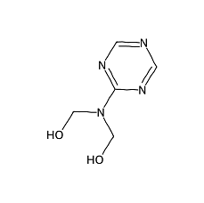 OCN(CO)c1ncncn1